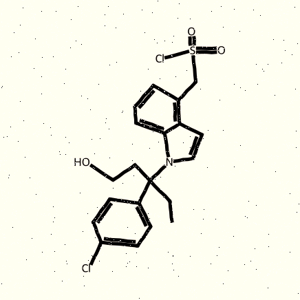 CCC(CCO)(c1ccc(Cl)cc1)n1ccc2c(CS(=O)(=O)Cl)cccc21